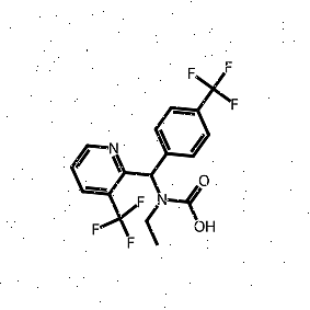 CCN(C(=O)O)C(c1ccc(C(F)(F)F)cc1)c1ncccc1C(F)(F)F